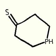 S=C1CCPCC1